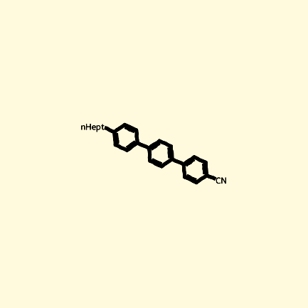 CCCCCCCc1ccc(-c2ccc(-c3ccc(C#N)cc3)cc2)cc1